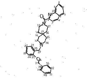 O=C(c1ccc2ccccc2n1)N1CCC2(CCN(Cc3ccccc3OCc3ccccc3)CC2)CC1